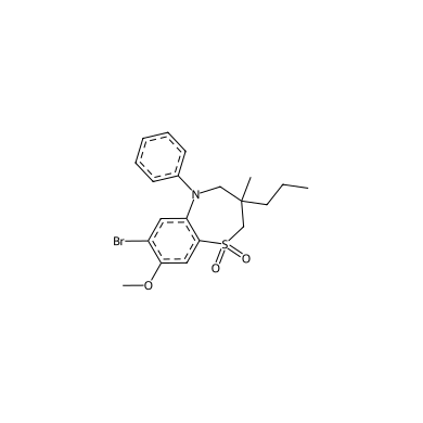 CCCC1(C)CN(c2ccccc2)c2cc(Br)c(OC)cc2S(=O)(=O)C1